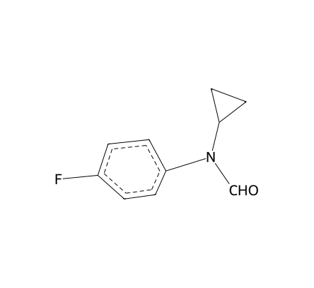 O=CN(c1ccc(F)cc1)C1CC1